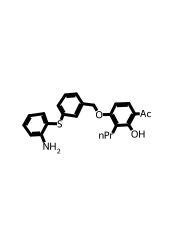 CCCc1c(OCc2cccc(Sc3ccccc3N)c2)ccc(C(C)=O)c1O